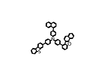 c1ccc2c(-c3ccc(N(c4ccc(-c5ccc6c(c5)sc5ccccc56)cc4)c4ccc(-c5cccc6oc7c8ccccc8ccc7c56)cc4)cc3)cccc2c1